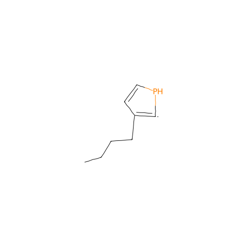 CCCCc1[c][pH]cc1